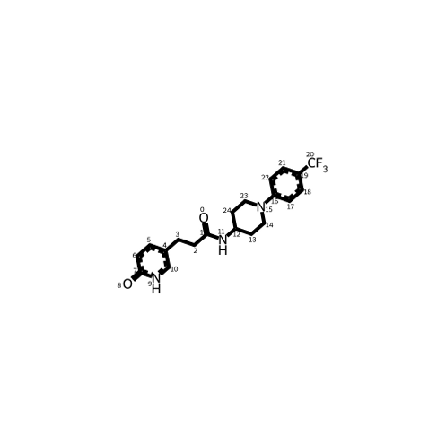 O=C(CCc1ccc(=O)[nH]c1)NC1CCN(c2ccc(C(F)(F)F)cc2)CC1